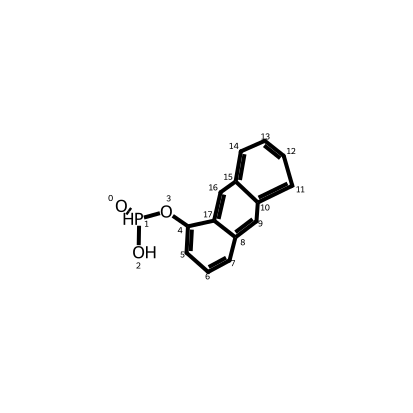 O=[PH](O)Oc1cccc2cc3ccccc3cc12